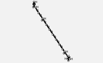 O=C(CCCCC1SCC2NC(=O)NC21)NCCOCCOCCOCCOCCOCCOCCOCCOCCOCCOCCOCCOCCC(=O)NCCCOCCOCCOCCCNC(=O)c1ccc(O)cc1